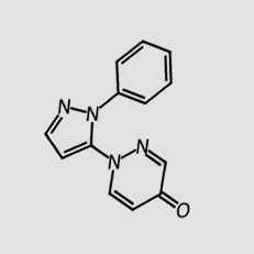 O=c1ccn(-c2ccnn2-c2ccccc2)nc1